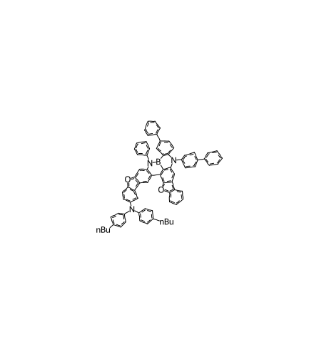 CCCCc1ccc(N(c2ccc(CCCC)cc2)c2ccc3oc4cc5c(cc4c3c2)-c2c3c(cc4c2oc2ccccc24)N(c2ccc(-c4ccccc4)cc2)c2ccc(-c4ccccc4)cc2B3N5c2ccccc2)cc1